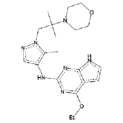 CCOc1nc(Nc2cnn(CC(C)(C)N3CCOCC3)c2C)nc2[nH]ccc12